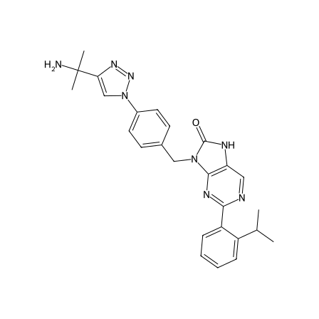 CC(C)c1ccccc1-c1ncc2[nH]c(=O)n(Cc3ccc(-n4cc(C(C)(C)N)nn4)cc3)c2n1